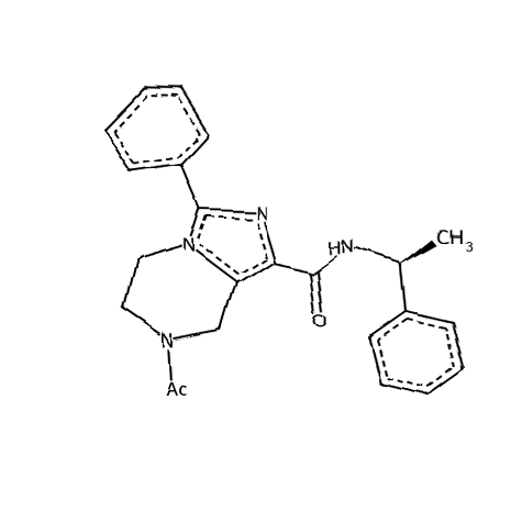 CC(=O)N1CCn2c(-c3ccccc3)nc(C(=O)N[C@@H](C)c3ccccc3)c2C1